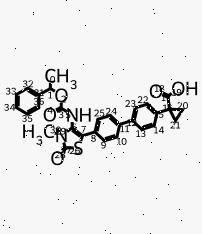 CC(OC(=O)Nc1c(-c2ccc(-c3ccc(C4(C(=O)O)CC4)cc3)cc2)sc(=O)n1C)c1ccccc1